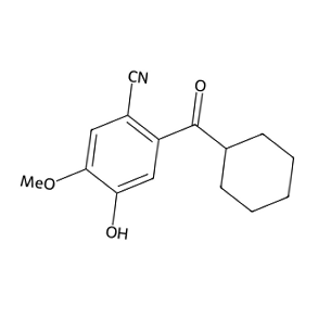 COc1cc(C#N)c(C(=O)C2CCCCC2)cc1O